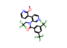 COc1ncccc1-c1ccncc1N(CC(F)(F)F)C(=O)c1cc(C(F)(F)F)cc(C(F)(F)F)c1